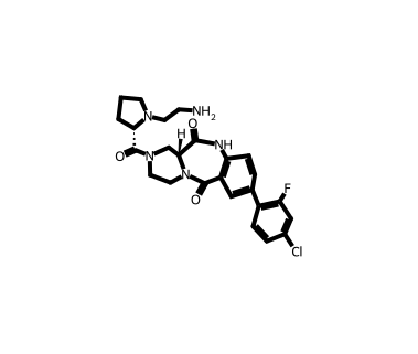 NCCN1CCC[C@H]1C(=O)N1CCN2C(=O)c3cc(-c4ccc(Cl)cc4F)ccc3NC(=O)[C@H]2C1